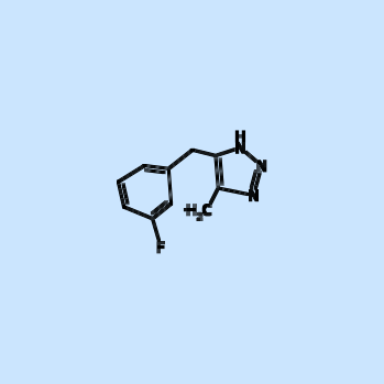 [CH2]c1nn[nH]c1Cc1cccc(F)c1